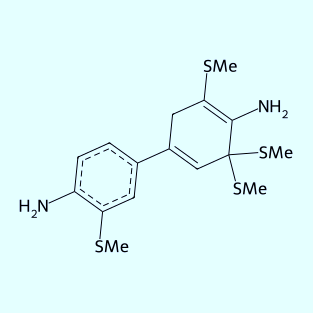 CSC1=C(N)C(SC)(SC)C=C(c2ccc(N)c(SC)c2)C1